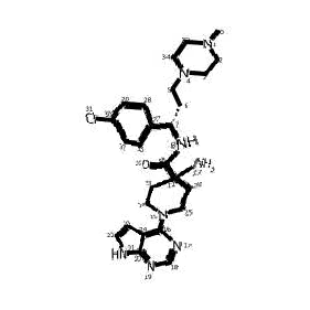 CN1CCN(CC[C@H](NC(=O)C2(N)CCN(c3ncnc4[nH]ccc34)CC2)c2ccc(Cl)cc2)CC1